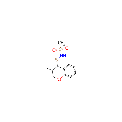 CC1COc2ccccc2C1SNS(=O)(=O)C(F)(F)F